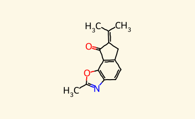 CC(C)=C1Cc2ccc3nc(C)oc3c2C1=O